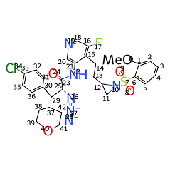 COc1ccccc1S(=O)(=O)N1CC1CCc1c(F)cncc1NC(=O)[C@H](N=[N+]=[N-])[C@@H](c1ccc(Cl)cc1)C1CCOCC1